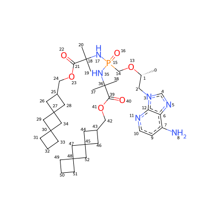 C[C@H](Cn1cnc2c(N)ccnc21)OCP(=O)(NC(C)(C)C(=O)OCC1CC2(C1)CC1(CCC1)C2)NC(C)(C)C(=O)OCC1CC2(C1)CC1(CCC1)C2